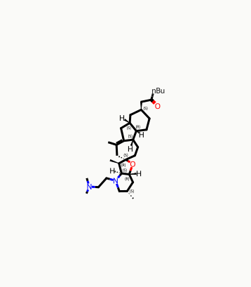 CCCCC(=O)C[C@H]1CC[C@@H]2[C@H](CC3=C(C)C[C@]4(CC[C@H]32)O[C@@H]2C[C@H](C)CN(CCN(C)C)[C@H]2[C@H]4C)C1